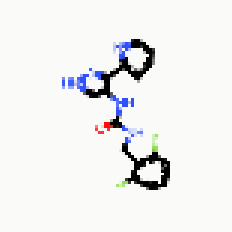 O=C(NCc1c(F)cccc1F)Nc1c[nH]nc1-c1ccccn1